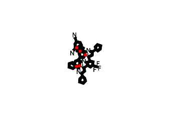 N#Cc1ccc(-c2ccc3c(c2)c2ccccc2n3-c2c(-c3cc(-c4ccccc4)nc(-c4ccccc4)n3)cc(C(F)(F)F)cc2-c2cc(-c3ccccc3)nc(-c3ccccc3)n2)c(C#N)c1